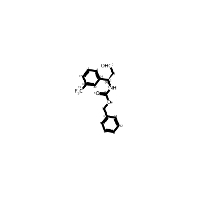 O=CC[C@@H](NC(=O)OCc1ccccc1)c1cccc(C(F)(F)F)c1